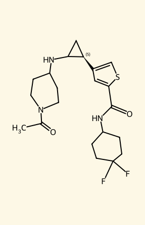 CC(=O)N1CCC(NC2C[C@H]2c2csc(C(=O)NC3CCC(F)(F)CC3)c2)CC1